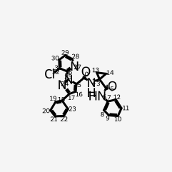 O=C(NC1(C(=O)Nc2ccccc2)CC1)c1cc(-c2ccccc2)nn1-c1ncccc1Cl